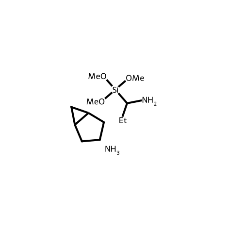 C1CC2CC2C1.CCC(N)[Si](OC)(OC)OC.N